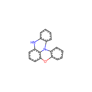 c1ccc2c(c1)Nc1cccc3c1N2c1ccccc1O3